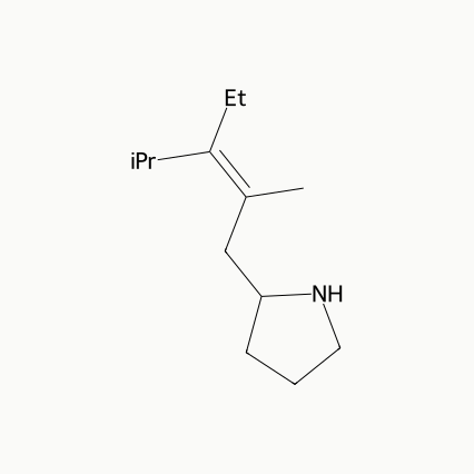 CC/C(=C(\C)CC1CCCN1)C(C)C